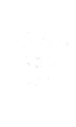 c1ccc(C2=NC(c3cccc4oc5ccccc5c34)NC(c3ccccc3-c3ccc(-c4ccccc4)c4oc5cc6ccncc6cc5c34)N2)cc1